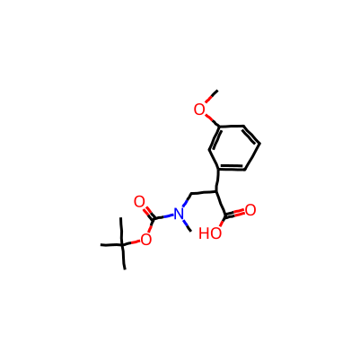 COc1cccc(C(CN(C)C(=O)OC(C)(C)C)C(=O)O)c1